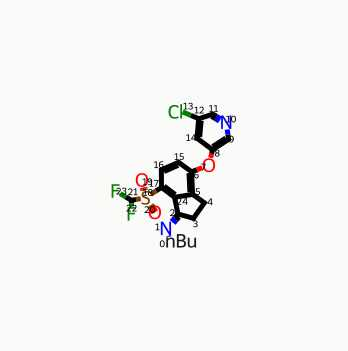 CCCC/N=C1\CCc2c(Oc3cncc(Cl)c3)ccc(S(=O)(=O)C(F)F)c21